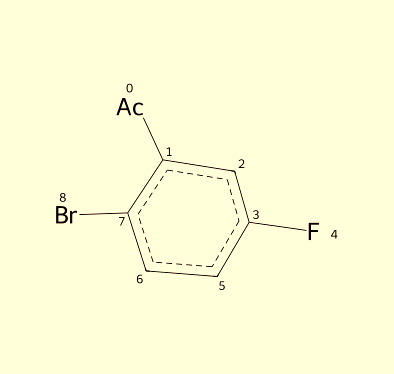 CC(=O)c1cc(F)ccc1Br